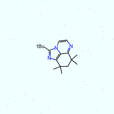 CC(C)(C)c1nc2c3c(nccn13)C(C)(C)CC2(C)C